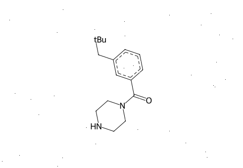 CC(C)(C)Cc1cccc(C(=O)N2CCNCC2)c1